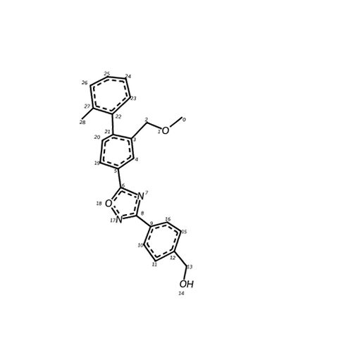 COCc1cc(-c2nc(-c3ccc(CO)cc3)no2)ccc1-c1ccccc1C